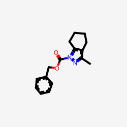 Cc1nn(C(=O)OCc2ccccc2)c2c1CCCC2